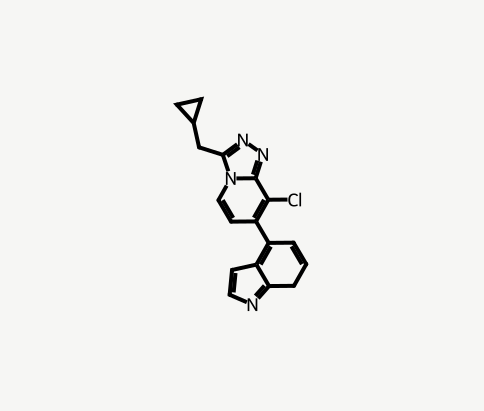 Clc1c(C2=C3C=CN=C3CC=C2)ccn2c(CC3CC3)nnc12